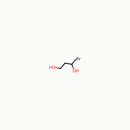 CC(C)C(O)CCO